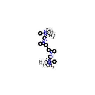 CC1(C)N=C(c2ccccc2)N(c2ccc(-n3c4ccccc4c4cc(-c5ccc6c(c5)c5ccccc5n6-c5ccc(N6C(c7ccccc7)=NC(C)(C)C6(C)C)cn5)ccc43)nc2)C1(C)C